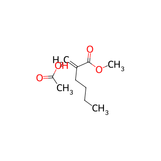 C=C(CCCC)C(=O)OC.CC(=O)O